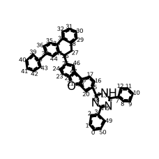 c1ccc(C2=NC(c3ccccc3)NC(c3ccc4c(c3)oc3ccc(C5Cc6ccccc6-c6ccc(-c7ccccc7)cc65)cc34)=N2)cc1